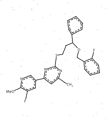 COc1ncc(-c2cc(C)nc(SCCC(OCc3ccccc3F)c3ccccc3)n2)cc1F